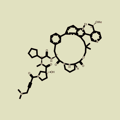 CCn1c(-c2cnccc2[C@H](C)OC)c2c3cc(ccc31)-c1cccc(c1)C[C@H](NC(=O)[C@H](C1CCCC1)N(C)C(=O)[C@@]1(O)CCN(C(=O)C#CCN(C)C)C1)C(=O)N1CCC[C@H](N1)C(=O)OCC(C)(C)C2